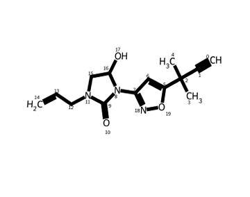 C#CC(C)(C)c1cc(N2C(=O)N(CC=C)CC2O)no1